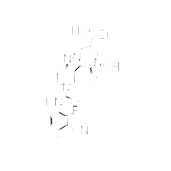 CCC(O)C1CN(C)C(=O)c2c3c(nn2C1)CCN(C(=O)Nc1ccc(F)c(C#N)c1F)C3